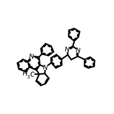 CC12C=CC=CC1N(c1ccc(C3CC(c4ccccc4)=NC(c4ccccc4)=N3)cc1)c1c(-c3ccccc3)nc3ccccc3c12